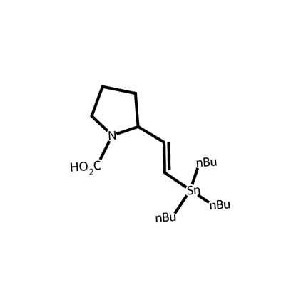 CCC[CH2][Sn]([CH]=CC1CCCN1C(=O)O)([CH2]CCC)[CH2]CCC